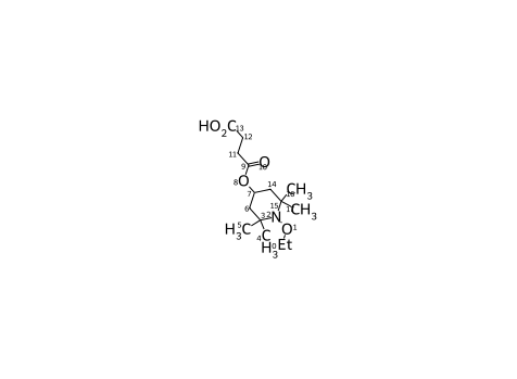 CCON1C(C)(C)CC(OC(=O)CCC(=O)O)CC1(C)C